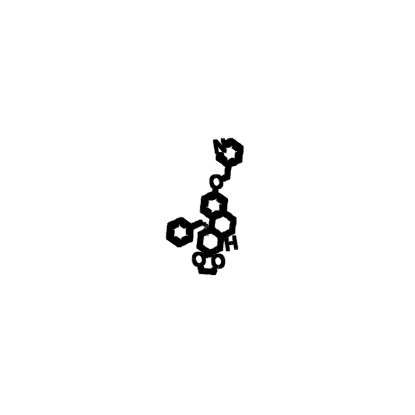 c1ccc(C[C@@]23CCC4(C[C@@H]2CCc2cc(OCc5cccnc5)ccc23)OCCO4)cc1